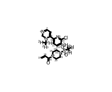 [2H]C([2H])([2H])N1CN=CC=C1c1cc([C@H]2CN(C(=O)C=C)CCN2S(=O)(=O)C([2H])([2H])[2H])cc(Cl)n1